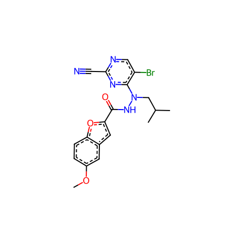 COc1ccc2oc(C(=O)NN(CC(C)C)c3nc(C#N)ncc3Br)cc2c1